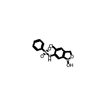 O=S(=O)(Nc1cc2c(cc1Cl)COB2O)c1ccccc1